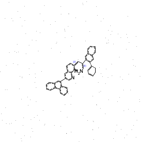 C=c1/c(=C\C(=C/N)c2cc3ccccc3cc2C2=CC=CCC2)ccc2cc(-c3cc4ccccc4c4ccccc34)cnc12